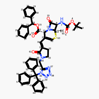 CC(C)(C)OC(=O)N[C@@H]1C(=O)N2[C@@H](C(=O)OC(c3ccccc3)c3ccccc3)C(C=C3CCN(Cc4nnnn4C(c4ccccc4)(c4ccccc4)c4ccccc4)C3=O)=CS[C@H]12